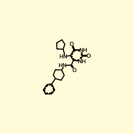 O=C(NC1CCC(c2ccccc2)CC1)c1[nH]c(=O)[nH]c(=O)c1NC1CCCC1